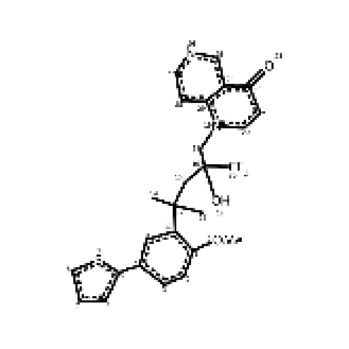 COc1ccc(-c2cccs2)cc1C(C)(C)CC(O)(Cn1ccc(=O)c2cnccc21)C(F)(F)F